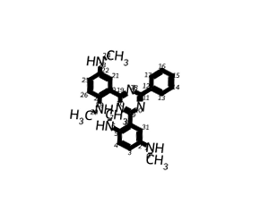 CNc1ccc(NC)c(-c2nc(-c3ccccc3)nc(-c3cc(NC)ccc3NC)n2)c1